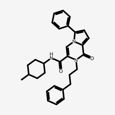 CC1CCC(NC(=O)c2cn3c(-c4ccccc4)ccc3c(=O)n2CCCc2ccccc2)CC1